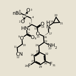 CCCCS(=O)(=O)C[C@@H](NC(=O)OCCC#N)C(=O)O[C@H](CNC1CC1)[C@@H](N)Cc1cc(F)cc(F)c1